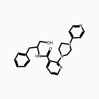 O=C(NC(CO)Cc1ccccc1)c1cccnc1N1CCN(c2ccncc2)CC1